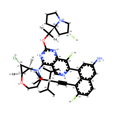 [2H]C([2H])(Oc1nc(N2CCCO[C@H]3[C@H](Cl)[C@H]32)c2cnc(-c3cc(N)cc4ccc(F)c(C#C[Si](C(C)C)(C(C)C)C(C)C)c34)c(F)c2n1)[C@@]12CCCN1C[C@H](F)C2